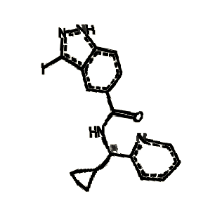 O=C(N[C@@H](c1ccccn1)C1CC1)c1ccc2[nH]nc(I)c2c1